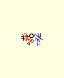 Cc1cc(Nc2ccc(B3OC(C)(C)C(C)(C)O3)c(S(=O)(=O)C3CC3)c2)n[nH]1